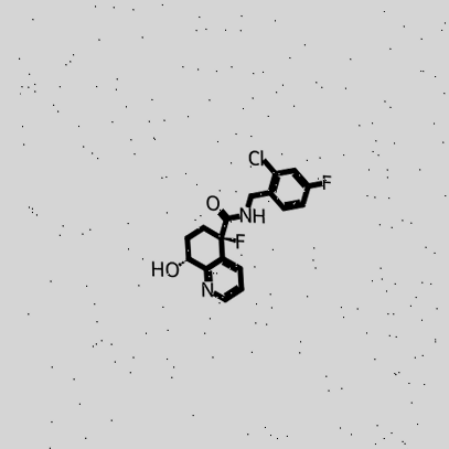 O=C(NCc1ccc(F)cc1Cl)[C@@]1(F)CC[C@@H](O)c2ncccc21